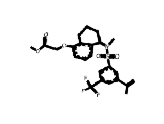 C=C(C)c1cc(C(F)(F)F)cc(S(=O)(=O)N(C)C2CCCc3c(OCC(=O)OC)cccc32)c1